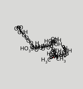 Cc1c(-c2ccc(N3CCc4cccc(C(=O)Nc5nc6ccccc6s5)c4C3)nc2C(=O)O)cnn1CC1C2CC3(C)CC(C)(C2)CC1(OCCN(C)C(=O)OCc1ccc(O[C@@H]2O[C@H](CO)[C@H](O)[C@H](O)[C@H]2O)c(NC(=O)CCNC(=O)COCCNC(=O)[C@@H](CS(=O)(=O)O)NC(=O)CCOCCOCCOCCOCCNC(=O)CCN2C(=O)C=CC2=O)c1)C3